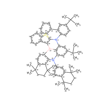 CC(C)(C)c1ccc(N2c3cc(C(C)(C)C)cc4c3B(c3ccc5c(c3N4c3ccc4c(c3)C(C)(C)CCC4(C)C)C(C)(C)CCC5(C)C)c3c2sc2ccccc32)c(-c2ccccc2)c1